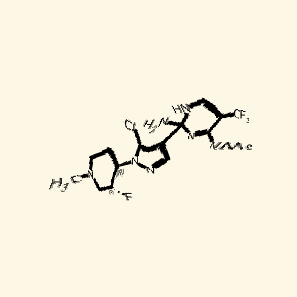 CNC1=NC(N)(c2cnn([C@@H]3CCN(C)C[C@H]3F)c2Cl)NC=C1C(F)(F)F